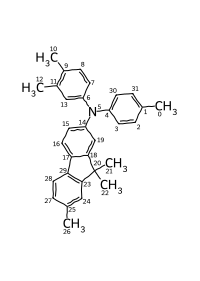 Cc1ccc(N(c2ccc(C)c(C)c2)c2ccc3c(c2)C(C)(C)c2cc(C)ccc2-3)cc1